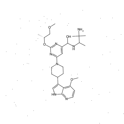 COC[C@@H](C)Oc1nc(C(O)NC(C)C(C)(C)N)cc(N2CCC(c3c[nH]c4nccc(OC)c34)CC2)n1